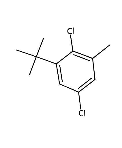 Cc1cc(Cl)cc(C(C)(C)C)c1Cl